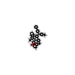 CC(C)(C)c1ccc(N2B3c4cc(C(C)(C)C)cc5c4N(c4cc(N(c6ccc(-c7ccccc7)cc6)c6ccc(C(C)(C)C)cc6)cc(c43)-c3ccc4c(c32)-c2cc3c(cc2C4(C)C)C(C)(C)CCC3(C)C)C2(C)CCCCC52C)cc1